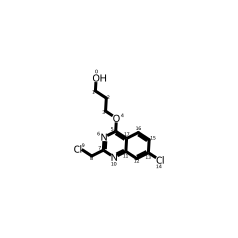 OCCCOc1nc(CCl)nc2cc(Cl)ccc12